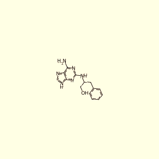 Nc1nc(NC(CO)Cc2ccccc2)nc2[nH]cnc12